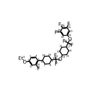 CCOc1ccc(C2CCC(C(F)(F)OC3CCC(C(F)(F)Oc4cc(F)c(F)c(F)c4)CC3)CC2)c(F)c1